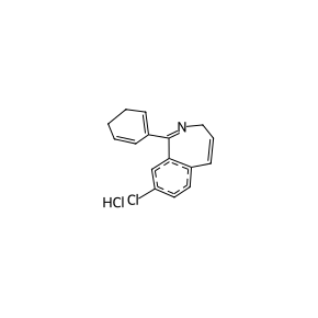 Cl.Clc1ccc2c(c1)C(C1=CCCC=C1)=NCC=C2